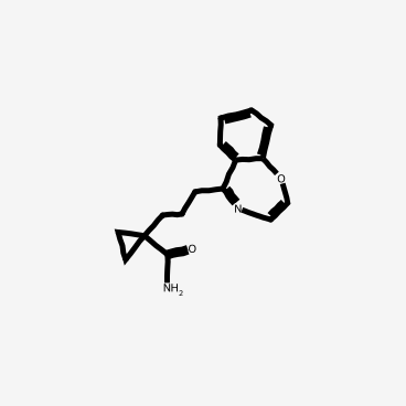 NC(=O)C1(CCCC2=NC=COc3ccccc32)CC1